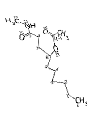 CCCCCCC(CCC(=O)NC)OC(C)=O